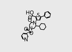 O=C(O)c1sc(-c2ccccc2)cc1N1C(=O)CN(S(=O)(=O)c2cccnc2)CC1C1CCCCC1